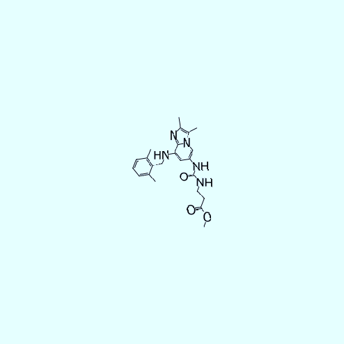 COC(=O)CCNC(=O)Nc1cc(NCc2c(C)cccc2C)c2nc(C)c(C)n2c1